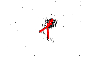 CCCCCCCCCCCCC/C=C/[C@@H](O)[C@H](CO[C@@H]1OC(CO)[C@@H](O[C@@H]2OC(CO)[C@H](O)[C@H](O[C@H]3OC(CO)[C@H](O)[C@H](O)C3O[C@@H]3OC(C)CC(O)[C@@H]3O)C2O)[C@H](O)C1O)NC(=O)CCCCCCCCCCCCCCCCCCCCC